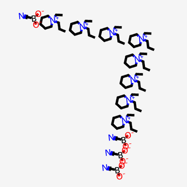 CCC[N+]1(CC)CCCCC1.CCC[N+]1(CC)CCCCC1.CCC[N+]1(CC)CCCCC1.CCC[N+]1(CC)CCCCC1.CCC[N+]1(CC)CCCCC1.CCC[N+]1(CC)CCCCC1.CCC[N+]1(CC)CCCCC1.CCC[N+]1(CC)CCCCC1.N#CB([O-])[O-].N#CB([O-])[O-].N#CB([O-])[O-].N#CB([O-])[O-]